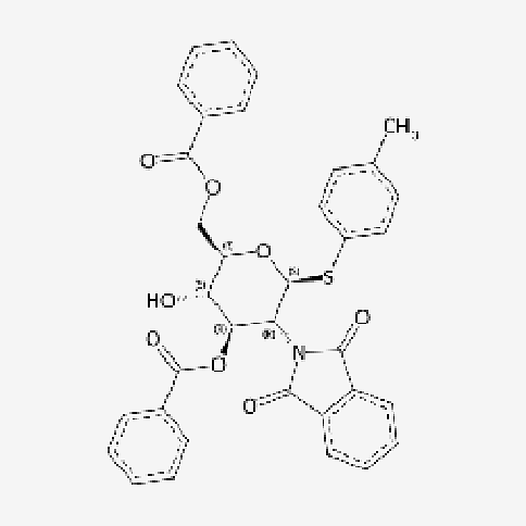 Cc1ccc(S[C@@H]2O[C@H](COC(=O)c3ccccc3)[C@@H](O)[C@H](OC(=O)c3ccccc3)[C@H]2N2C(=O)c3ccccc3C2=O)cc1